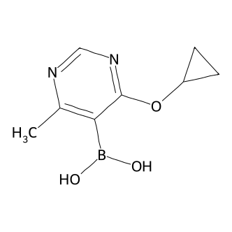 Cc1ncnc(OC2CC2)c1B(O)O